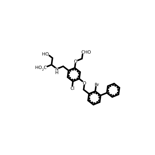 O=CCOc1cc(OCc2cccc(-c3ccccc3)c2Br)c(Cl)cc1CNC(CO)C(=O)O